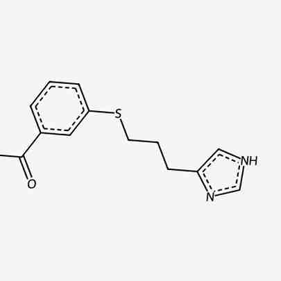 CC(=O)c1cccc(SCCCc2c[nH]cn2)c1